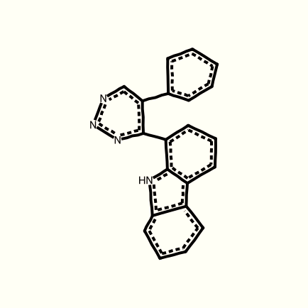 c1ccc(-c2cnnnc2-c2cccc3c2[nH]c2ccccc23)cc1